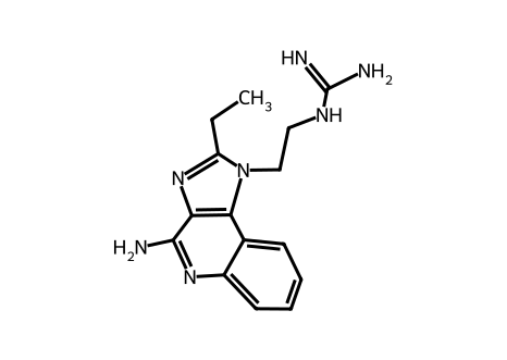 CCc1nc2c(N)nc3ccccc3c2n1CCNC(=N)N